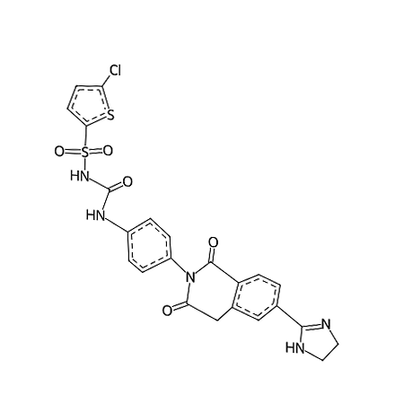 O=C(Nc1ccc(N2C(=O)Cc3cc(C4=NCCN4)ccc3C2=O)cc1)NS(=O)(=O)c1ccc(Cl)s1